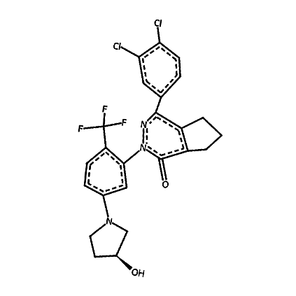 O=c1c2c(c(-c3ccc(Cl)c(Cl)c3)nn1-c1cc(N3CC[C@H](O)C3)ccc1C(F)(F)F)CCC2